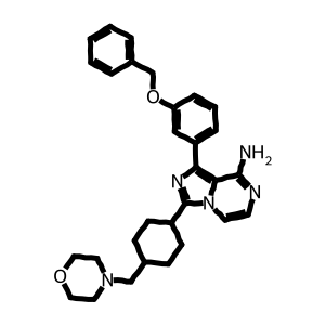 Nc1nccn2c(C3CCC(CN4CCOCC4)CC3)nc(-c3cccc(OCc4ccccc4)c3)c12